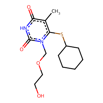 Cc1c(SC2CCCCC2)n(COCCO)c(=O)[nH]c1=O